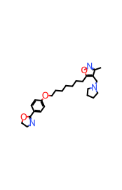 Cc1noc(CCCCCCCOc2ccc(C3=NCCO3)cc2)c1CN1CCCC1